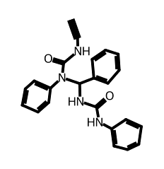 C#CNC(=O)N(c1ccccc1)C(NC(=O)Nc1ccccc1)c1ccccc1